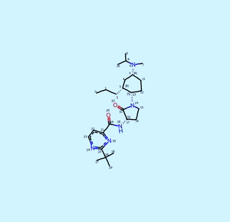 CCC[C@@H]1C[C@H](N(C)C(C)C)CC[C@@H]1N1CC[C@H](NC(=O)c2ccnc(C(C)(C)C)n2)C1=O